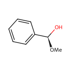 CO[C@H](O)c1ccccc1